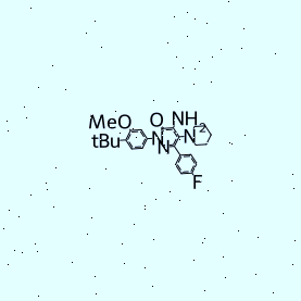 COc1cc(-n2nc(-c3ccc(F)cc3)c(N3CCCCC3)c(N)c2=O)ccc1C(C)(C)C